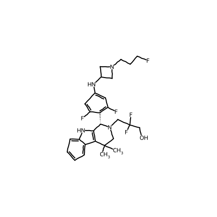 CC1(C)CN(CC(F)(F)CO)[C@@H](c2c(F)cc(NC3CN(CCCF)C3)cc2F)c2[nH]c3ccccc3c21